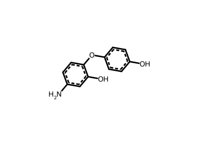 Nc1ccc(Oc2ccc(O)cc2)c(O)c1